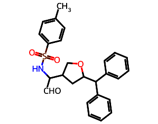 Cc1ccc(S(=O)(=O)NC(C=O)C2COC(C(c3ccccc3)c3ccccc3)C2)cc1